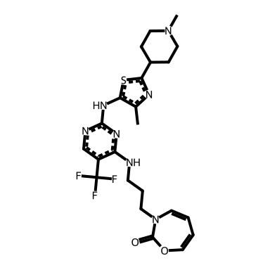 Cc1nc(C2CCN(C)CC2)sc1Nc1ncc(C(F)(F)F)c(NCCCN2C=CC=COC2=O)n1